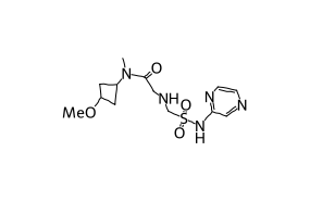 COC1CC(N(C)C(=O)CNCS(=O)(=O)Nc2cnccn2)C1